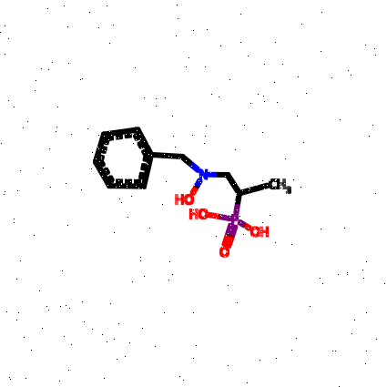 CC(CN(O)Cc1ccccc1)P(=O)(O)O